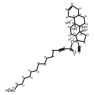 C#C[C@]1(OC(=O)C#CCCCCCCCCCCCCCCCCCCCCC)CC[C@H]2[C@@H]3CCC4CC=CC[C@@H]4[C@H]3CC[C@@]21C